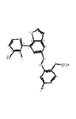 CCOC(=O)Cc1ccc(C(C)=O)cc1OCc1cc(-c2cccc(CC)c2F)c2occc2c1